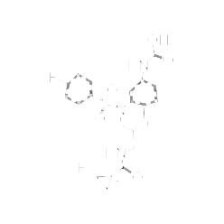 O=C(O)Nc1ccc2c(c1)N(S(=O)(=O)c1ccc(F)cc1)CC(CNC(=O)[C@H]1C[C@@H]1F)O2